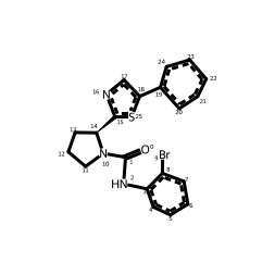 O=C(Nc1ccccc1Br)N1CCC[C@H]1c1ncc(-c2ccccc2)s1